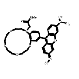 CCN=c1ccc2c(-c3ccc4c(c3)OCCOCCOCCOCCN4CC(=O)OC)c3ccc(N(C)C)cc3oc-2c1